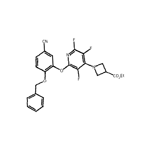 CCOC(=O)C1CN(c2c(F)c(F)nc(Oc3cc(C#N)ccc3OCc3ccccc3)c2F)C1